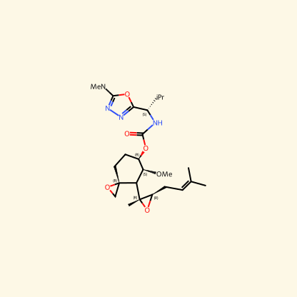 CNc1nnc([C@@H](NC(=O)O[C@@H]2CC[C@]3(CO3)C([C@@]3(C)O[C@@H]3CC=C(C)C)[C@@H]2OC)C(C)C)o1